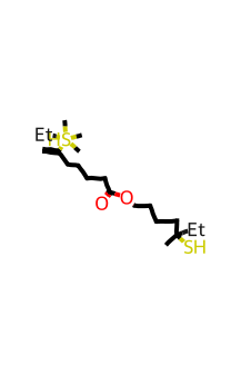 C=C(CCCCC(=O)OCCCCC(C)(S)CC)[SH](C)(C)(C)CC